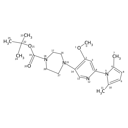 COc1cc(-n2c(C)ccc2C)ncc1N1CCN(C(=O)OC(C)(C)C)CC1